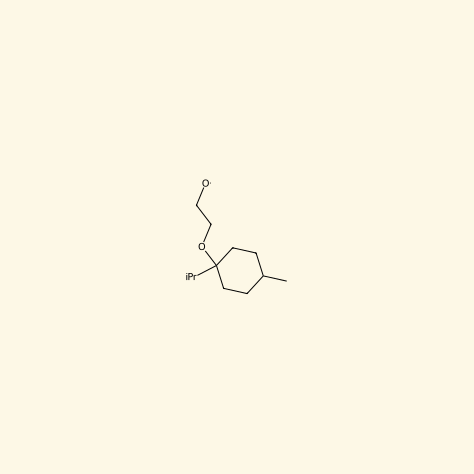 CC1CCC(OCC[O])(C(C)C)CC1